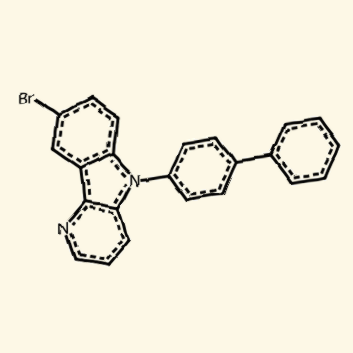 Brc1ccc2c(c1)c1ncccc1n2-c1ccc(-c2ccccc2)cc1